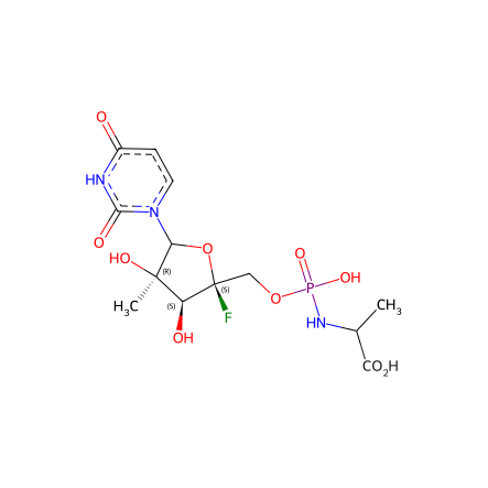 CC(NP(=O)(O)OC[C@@]1(F)OC(n2ccc(=O)[nH]c2=O)[C@](C)(O)[C@@H]1O)C(=O)O